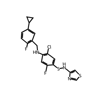 Fc1ccc(C2CC2)cc1CNc1cc(F)c(SNc2cscn2)cc1Cl